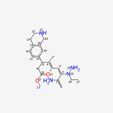 C=C(N)/C(=C\C=C(/C)C(CC(=O)OC)c1ccc2c(c1)CNCC2)N(N)CC